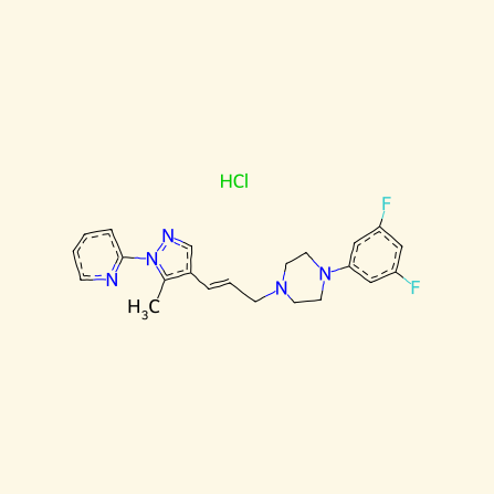 Cc1c(C=CCN2CCN(c3cc(F)cc(F)c3)CC2)cnn1-c1ccccn1.Cl